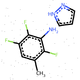 Cc1cc(F)c(F)c(N)c1F.c1cn[nH]c1